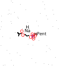 C=C(C)C(=O)OCCCOP(=O)(O)OCCCCC.[NaH]